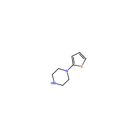 [c]1ccc(N2CCNCC2)s1